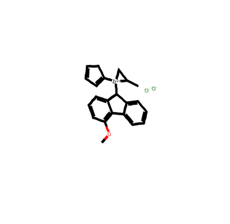 COc1cccc2c1-c1ccccc1[CH]2[Zr+2]1([C]2=CC=CC2)[CH2][CH]1C.[Cl-].[Cl-]